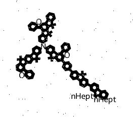 CCCCCCCC1(CCCCCCC)c2ccccc2-c2ccc(-c3ccc4c(c3)C(C)(C)c3cc(-c5ccc(-c6cc7c(c8c6oc6ccccc68)-c6ccc(N(c8ccc9c(c8)C(C)(C)c8cc%10c(cc8-9)C(C)(C)c8ccc9oc%11ccccc%11c9c8-%10)c8ccc9c(c8)C(C)(C)c8c%10c(c%11oc%12ccccc%12c%11c8-9)-c8ccccc8C%10(C)C)cc6C7(C)C)cc5)ccc3-4)cc21